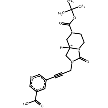 CC(C)(C)OC(=O)N1CCN2C(=O)N(CC#Cc3cncc(C(=O)O)c3)C[C@@H]2C1